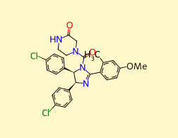 COc1ccc(C2=N[C@@H](c3ccc(Cl)cc3)[C@@H](c3ccc(Cl)cc3)N2C(=O)N2CCNC(=O)C2)c(C)c1